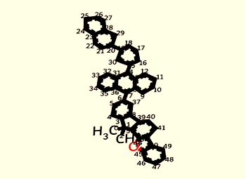 CC1(C)c2ccc(-c3c4ccccc4c(-c4cccc(-c5ccc6ccccc6c5)c4)c4ccccc34)cc2-c2ccc3c(oc4ccccc43)c21